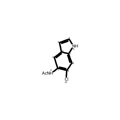 CC(=O)Nc1cc2c[c][nH]c2cc1Cl